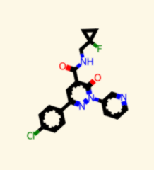 O=C(NCC1(F)CC1)c1cc(-c2ccc(Cl)cc2)nn(-c2cccnc2)c1=O